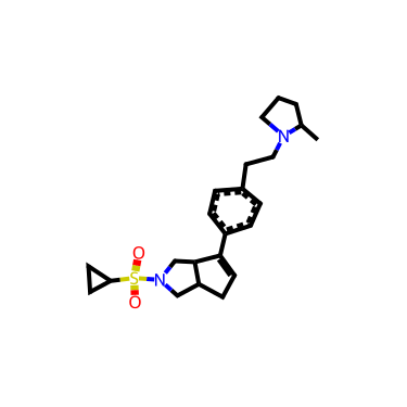 CC1CCCN1CCc1ccc(C2=CCC3CN(S(=O)(=O)C4CC4)CC23)cc1